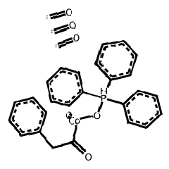 O=[C](Cc1ccccc1)[Co](=[O])[O][PH](c1ccccc1)(c1ccccc1)c1ccccc1.[C]=O.[C]=O.[C]=O